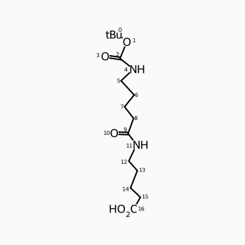 CC(C)(C)OC(=O)NCCCCC(=O)NCCCCC(=O)O